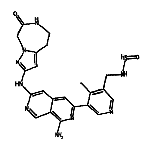 Cc1c(CN[SH]=O)cncc1-c1cc2cc(Nc3cc4n(n3)CC(=O)NCC4)ncc2c(N)n1